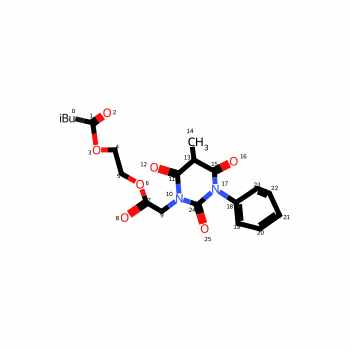 CCC(C)C(=O)OCCOC(=O)CN1C(=O)C(C)C(=O)N(c2ccccc2)C1=O